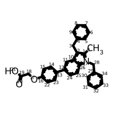 Cc1c(Cc2ccccc2)c2cc(-c3ccc(OCC(=O)O)cc3)ccc2n1Cc1ccccc1